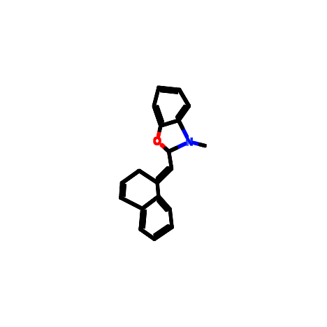 CN1c2ccccc2OC1C=C1CC=Cc2ccccc21